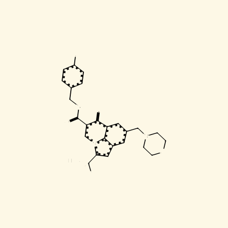 C[C@@H](O)c1cc2cc(CN3CCOCC3)cc3c(=O)c(C(=O)NCc4ccc(Cl)cc4)cn1c23